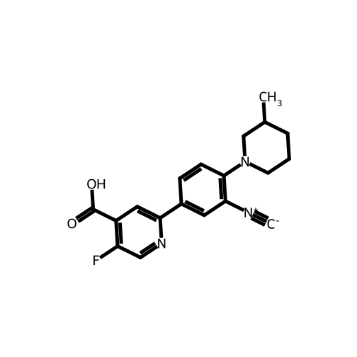 [C-]#[N+]c1cc(-c2cc(C(=O)O)c(F)cn2)ccc1N1CCCC(C)C1